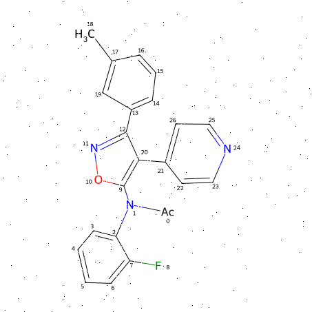 CC(=O)N(c1ccccc1F)c1onc(-c2cccc(C)c2)c1-c1ccncc1